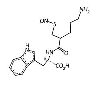 NCCCC(CSN=O)C(=O)N[C@@H](Cc1c[nH]c2ccccc12)C(=O)O